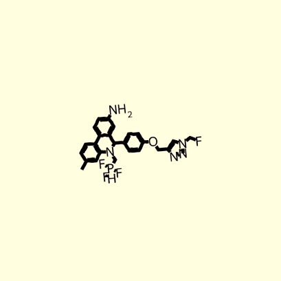 Cc1ccc2c(c1)N(C[PH](F)(F)F)C(c1ccc(OCc3cn(CF)nn3)cc1)c1cc(N)ccc1-2